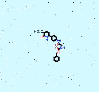 C[C@H](NC(=O)OCc1ccccc1)C(=O)Nc1ccc(-c2ccc(C(=O)O)c(=O)[nH]2)cc1